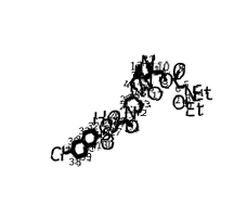 CCC(=O)N(CC)CCC(=O)OCc1ncc2n1C(=O)N(C1CCN(C(=O)[C@H](O)CS(=O)(=O)c3ccc4cc(Cl)ccc4c3)CC1)C2